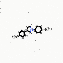 CC(C)(C)c1ccc(C2CCN([C@H]3CC[C@@H](C(C)(C)C)CC3)C2)cc1